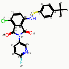 CC(C)(C)c1ccc(SNc2ccc(Cl)c3c2C(=O)N(c2ccc(F)nc2)C3=O)cc1